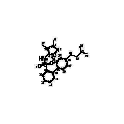 Cc1noc(NS(=O)(=O)c2ccccc2-c2ccc(CCC(C)C)cc2)c1C